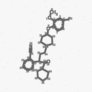 COc1cc(F)ccc1OC1CCN(CCC(C(=O)C2CCCCC2)c2ccccc2C#N)CC1